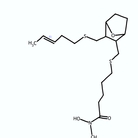 C/C=C/CCSCC1C2CCC(O2)C1CSCCCCC(=O)N(C)O